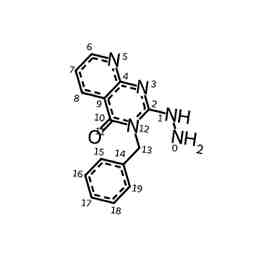 NNc1nc2ncccc2c(=O)n1Cc1ccccc1